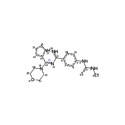 CCNC(=S)Nc1ccc(C(=N)/N=C(\c2ccc[nH]2)N2CCOCC2)cc1